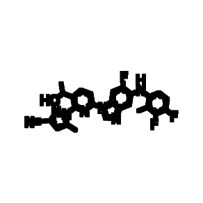 Cc1c(Nc2cc3ncn(-c4ccc(C(C)O)c(-n5nc(C#N)cc5C)n4)c3cc2F)ccc(F)c1F